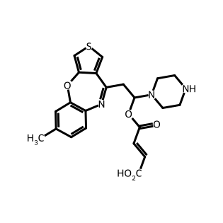 Cc1ccc2c(c1)Oc1cscc1C(CC(OC(=O)/C=C/C(=O)O)N1CCNCC1)=N2